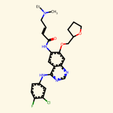 CCN(C)CC=CC(=O)Nc1cc2c(Nc3ccc(F)c(Cl)c3)ncnc2cc1OCC1CCCO1